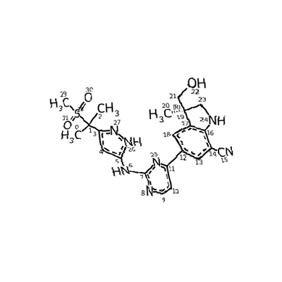 CC(C)(c1cc(Nc2nccc(-c3cc(C#N)c4c(c3)[C@@](C)(CO)CN4)n2)[nH]n1)S(C)(=O)=O